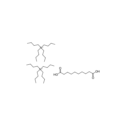 CCCC[N+](CCCC)(CCCC)CCCC.CCCC[N+](CCCC)(CCCC)CCCC.O=C(O)CCCCCCCCC(=O)O